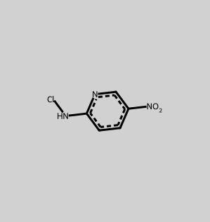 O=[N+]([O-])c1ccc(NCl)nc1